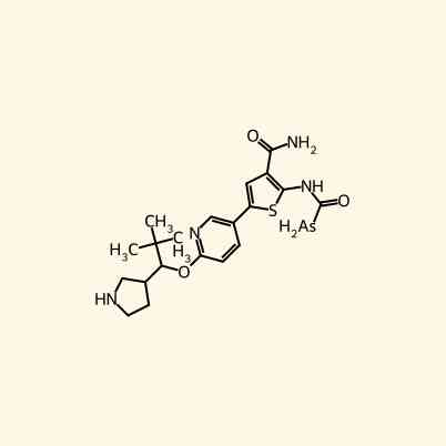 CC(C)(C)C(Oc1ccc(-c2cc(C(N)=O)c(NC(=O)[AsH2])s2)cn1)C1CCNC1